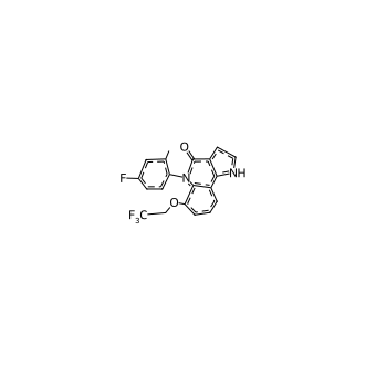 Cc1cc(F)ccc1-n1c(=O)c2cc[nH]c2c2cccc(OCC(F)(F)F)c21